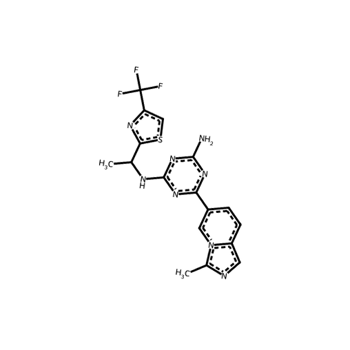 Cc1ncc2ccc(-c3nc(N)nc(NC(C)c4nc(C(F)(F)F)cs4)n3)cn12